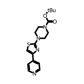 CC(C)(C)OC(=O)N1CCN(c2nc(-c3ccncc3)cs2)CC1